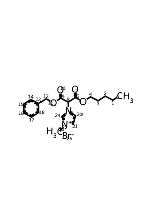 CCCCCOC(=O)C(C(=O)OCc1ccccc1)n1cc[n+](C)c1.[Br-]